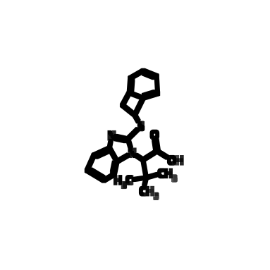 CC(C)(C)C(C(=O)O)n1c(SC2Cc3ccccc32)nc2ccccc21